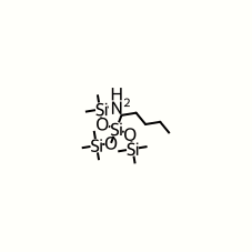 CCCCC(N)[Si](O[Si](C)(C)C)(O[Si](C)(C)C)O[Si](C)(C)C